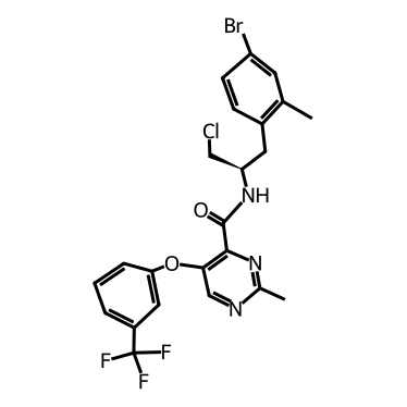 Cc1ncc(Oc2cccc(C(F)(F)F)c2)c(C(=O)N[C@@H](CCl)Cc2ccc(Br)cc2C)n1